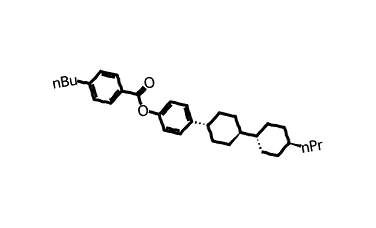 CCCCc1ccc(C(=O)Oc2ccc([C@H]3CC[C@H]([C@H]4CC[C@H](CCC)CC4)CC3)cc2)cc1